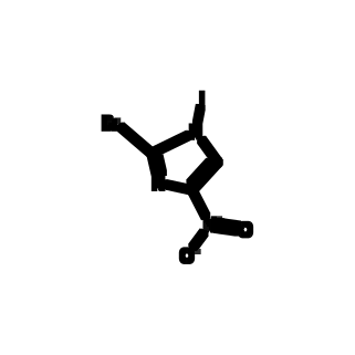 O=[N+]([O-])c1cn(I)c(Br)n1